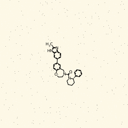 Cc1nc2ccc(-c3ccc4c(c3)CN(C(=O)N3CCCC[C@@H]3c3ccccc3)CCO4)cc2[nH]1